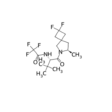 C[C@@H]1CC2(CN1C(=O)[C@@H](NC(=O)C(F)(F)F)C(C)(C)C)CC(F)(F)C2